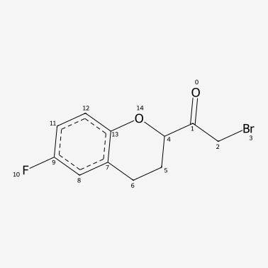 O=C(CBr)C1CCc2cc(F)ccc2O1